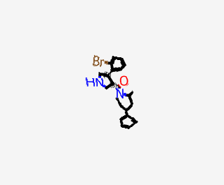 CC1CC(c2ccccc2)CCN1C(=O)[C@@H]1CNC[C@H]1c1ccccc1Br